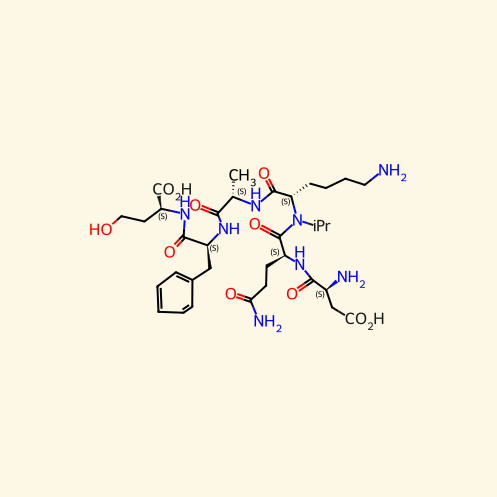 CC(C)N(C(=O)[C@H](CCC(N)=O)NC(=O)[C@@H](N)CC(=O)O)[C@@H](CCCCN)C(=O)N[C@@H](C)C(=O)N[C@@H](Cc1ccccc1)C(=O)N[C@@H](CCO)C(=O)O